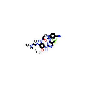 C=CC(=O)Nc1cc(Nc2ncc(C(F)(F)F)c(-n3cnc4ccc(C#N)cc43)n2)c(OC)cc1N(C)CCN(C)C